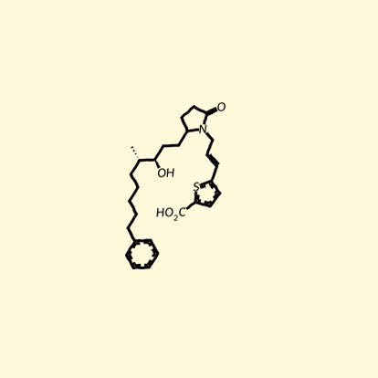 C[C@@H](CCCCCc1ccccc1)[C@H](O)CCC1CCC(=O)N1CC=Cc1ccc(C(=O)O)s1